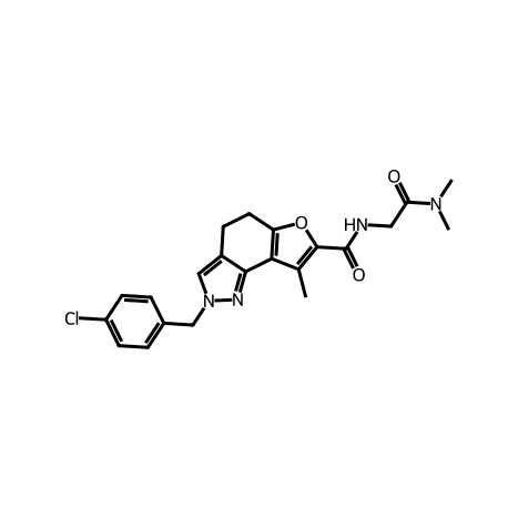 Cc1c(C(=O)NCC(=O)N(C)C)oc2c1-c1nn(Cc3ccc(Cl)cc3)cc1CC2